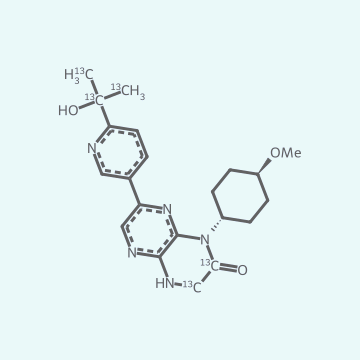 CO[C@H]1CC[C@H](N2c3nc(-c4ccc([13C]([13CH3])([13CH3])O)nc4)cnc3N[13CH2][13C]2=O)CC1